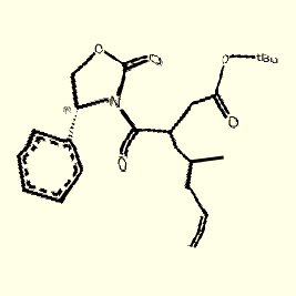 C=CCC(C)C(CC(=O)OC(C)(C)C)C(=O)N1C(=O)OC[C@H]1c1ccccc1